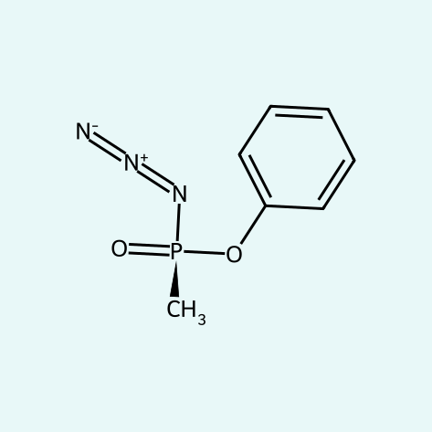 C[P@@](=O)(N=[N+]=[N-])Oc1ccccc1